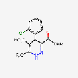 COC(=O)C1=NNC(C(F)(F)F)=C(C(=O)O)C1c1ccccc1Cl